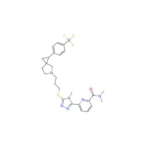 CN(C)C(=O)c1cccc(-c2nnc(SCCCN3CCC4(CC4c4ccc(C(F)(F)F)cc4)C3)n2C)n1